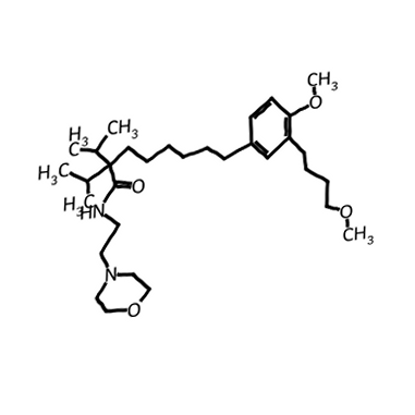 COCCCCc1cc(CCCCCCC(C(=O)NCCN2CCOCC2)(C(C)C)C(C)C)ccc1OC